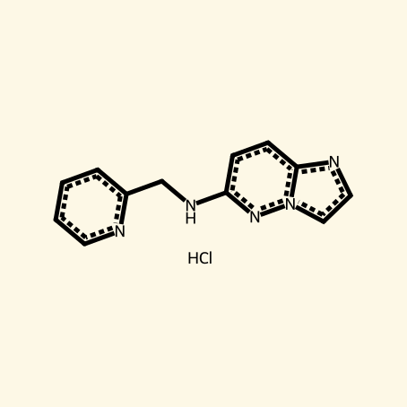 Cl.c1ccc(CNc2ccc3nccn3n2)nc1